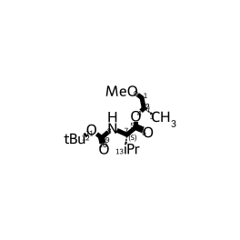 COC[C@H](C)OC(=O)[C@@H](NC(=O)OC(C)(C)C)C(C)C